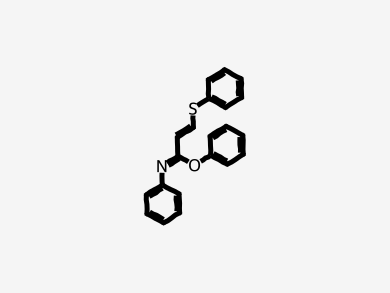 C(=CC(=Nc1ccccc1)Oc1ccccc1)Sc1ccccc1